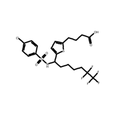 O=C(O)CCCc1ccc(C(CCCCC(F)(F)C(F)(F)F)NS(=O)(=O)c2ccc(Cl)cc2)s1